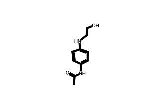 CC(=O)Nc1ccc(NCCO)cc1